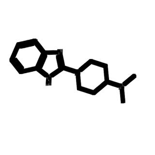 CN(C)C1CCN(c2nc3[c]cccc3[nH]2)CC1